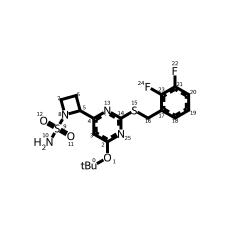 CC(C)(C)Oc1cc(C2CCN2S(N)(=O)=O)nc(SCc2cccc(F)c2F)n1